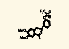 COc1cc2cc(-c3cccc(OS(=O)(=O)C(F)(F)F)c3)nc(C)c2cc1OC